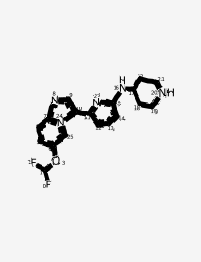 FC(F)Oc1ccc2ncc(-c3cccc(NC4CCNCC4)n3)n2c1